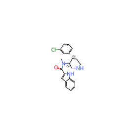 CN(C(=O)c1cc2ccccc2[nH]1)[C@@H]1CNCC[C@H]1c1cccc(Cl)c1